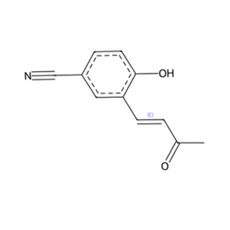 CC(=O)/C=C/c1cc(C#N)ccc1O